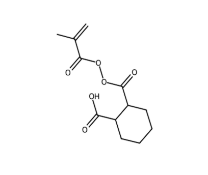 C=C(C)C(=O)OOC(=O)C1CCCCC1C(=O)O